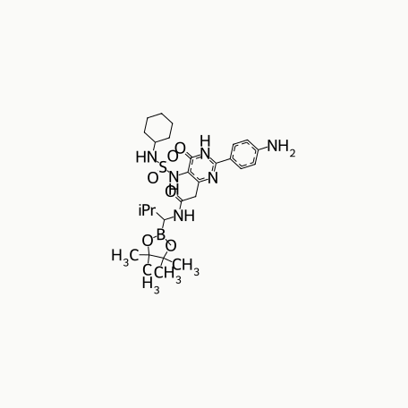 CC(C)C(NC(=O)Cc1nc(-c2ccc(N)cc2)[nH]c(=O)c1NS(=O)(=O)NC1CCCCC1)B1OC(C)(C)C(C)(C)O1